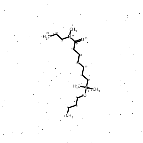 CCCCO[Si](C)(C)CCCCCCC(=O)N(C)CCC